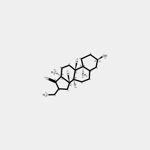 CCC1C[C@H]2[C@@H]3CCC4C[C@H](O)CC[C@]4(C)[C@H]3CC[C@]2(C)C1=O